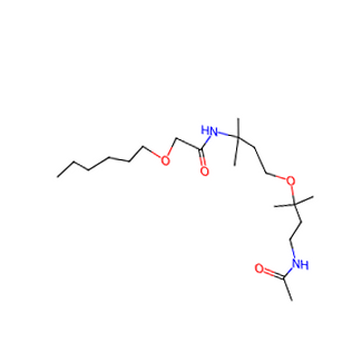 CCCCCCOCC(=O)NC(C)(C)CCOC(C)(C)CCNC(C)=O